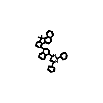 CC1(C)c2cccc(-c3ccc(-c4cc(-c5ccccc5)nc(-c5ccccc5)n4)c4ccccc34)c2-c2ccc3ccccc3c21